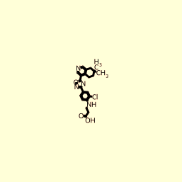 CC1(C)CCc2c(cncc2-c2nc(-c3ccc(NCCC(=O)O)c(Cl)c3)no2)C1